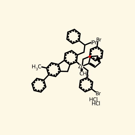 Cl.Cl.[CH2]=[Zr]([CH2]c1cccc(Br)c1)([CH2]c1cccc(Br)c1)([C]1=CC=CC1)[c]1c(CC(c2ccccc2)C(C)C)ccc2c1Cc1cc(-c3ccccc3)c(C)cc1-2